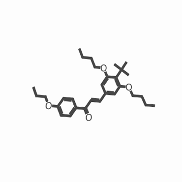 CCCCOc1cc(C=CC(=O)c2ccc(OCCC)cc2)cc(OCCCC)c1C(C)(C)C